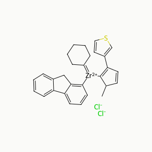 CC1C=CC(c2ccsc2)=[C]1[Zr+2](=[C]1CCCCC1)[c]1cccc2c1Cc1ccccc1-2.[Cl-].[Cl-]